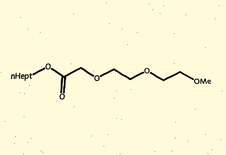 CCCCCCCOC(=O)COCCOCCOC